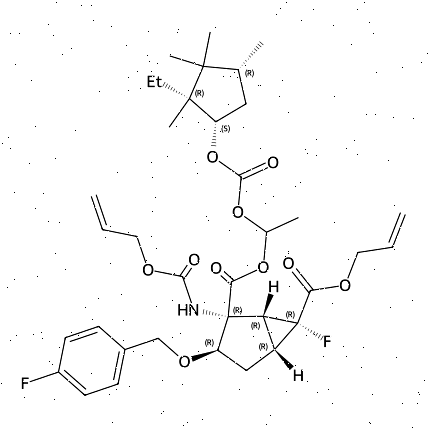 C=CCOC(=O)N[C@@]1(C(=O)OC(C)OC(=O)O[C@H]2C[C@@H](C)C(C)(C)[C@@]2(C)CC)[C@H](OCc2ccc(F)cc2)C[C@@H]2[C@H]1[C@@]2(F)C(=O)OCC=C